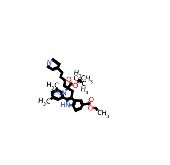 CCOC(=O)c1ccc2[nH]c(-c3cc(C)cc(C)c3)c(CC(N)(CCCCc3ccncc3)C(=O)OC(C)(C)C)c2c1